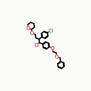 O=C(c1ccc(OCCOCc2ccccc2)cc1)C(CCOC1CCCCO1)c1ccc(Cl)cc1